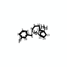 Fc1cccc(CN2CCC[C@H]3[C@H]4CC=C(C4)N32)c1